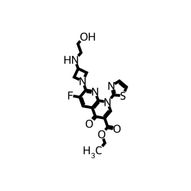 CCOC(=O)c1cn(-c2nccs2)c2nc(N3CC(NCCO)C3)c(F)cc2c1=O